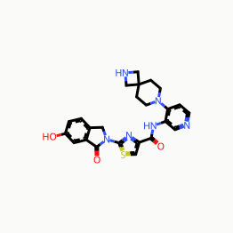 O=C(Nc1cnccc1N1CCC2(CC1)CNC2)c1csc(N2Cc3ccc(O)cc3C2=O)n1